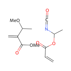 C=C(C(=O)OC)C(C)OC.C=CC(=O)OC(C)N=C=O